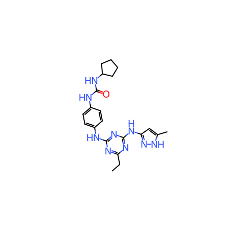 CCc1nc(Nc2ccc(NC(=O)NC3CCCC3)cc2)nc(Nc2cc(C)[nH]n2)n1